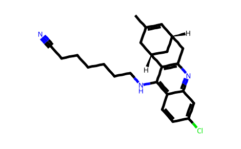 CC1=C[C@@H]2Cc3nc4cc(Cl)ccc4c(NCCCCCCC#N)c3[C@H](C1)C2